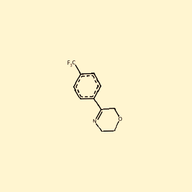 FC(F)(F)c1ccc(C2=NCCOC2)cc1